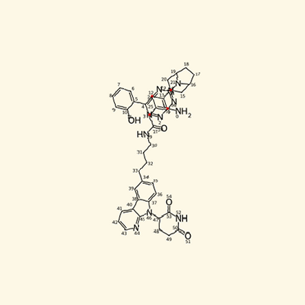 Nc1nnc(-c2ccccc2O)cc1N1CC2CCC(C1)N2c1ncc(CC(=O)NCCCCc2ccc3c(c2)c2cccnc2n3C2CCC(=O)NC2=O)cn1